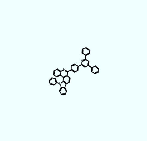 c1ccc(-c2cc(-c3ccccc3)nc(-c3ccc(-c4nc5ccccc5c5c4ccc4c6ccccc6n(-c6ccccc6)c45)cc3)c2)cc1